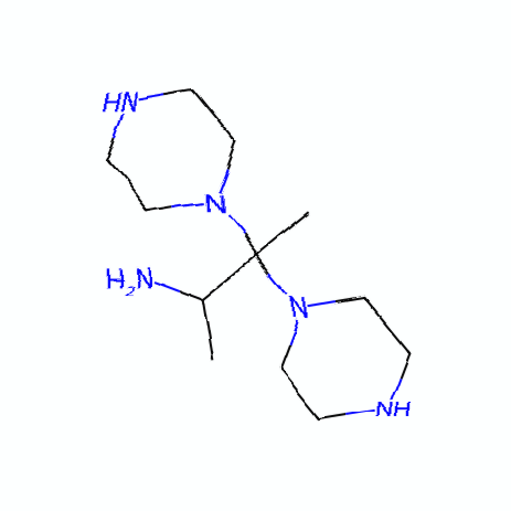 CC(N)C(C)(N1CCNCC1)N1CCNCC1